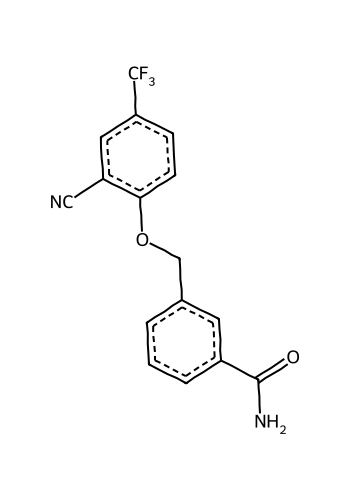 N#Cc1cc(C(F)(F)F)ccc1OCc1cccc(C(N)=O)c1